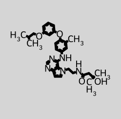 Cc1cc(Nc2ncnc3ccn(CCNC(=O)CC(C)(C)O)c23)ccc1Oc1cccc(OCC(C)C)c1